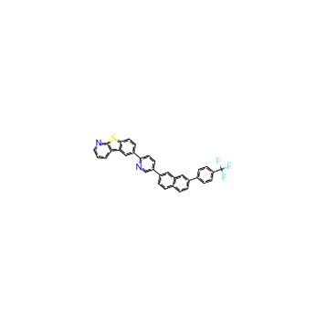 FC(F)(F)c1ccc(-c2ccc3ccc(-c4ccc(-c5ccc6sc7ncccc7c6c5)nc4)cc3c2)cc1